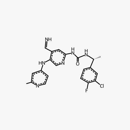 Cc1cc(Nc2cnc(NC(=O)N[C@H](C)c3ccc(F)c(Cl)c3)cc2C=N)ccn1